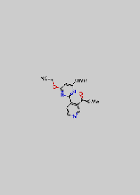 COC(=O)c1cnccc1-c1nc(OC)cc(OCC#N)n1